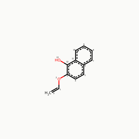 C=COc1ccc2ccccc2c1O